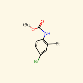 CCc1cc(Br)ccc1NC(=O)OC(C)(C)C